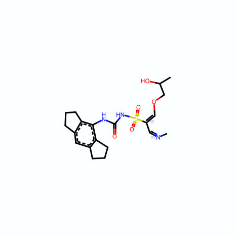 C/N=C\C(=C\OCC(C)O)S(=O)(=O)NC(=O)Nc1c2c(cc3c1CCC3)CCC2